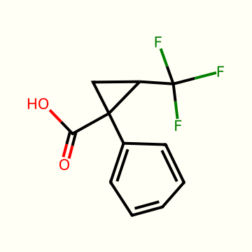 O=C(O)C1(c2ccccc2)CC1C(F)(F)F